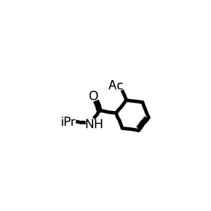 CC(=O)C1CC=CCC1C(=O)NC(C)C